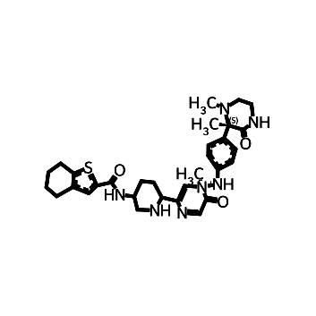 CN1CCNC(=O)[C@]1(C)c1ccc(N[N+]2(C)C=C(C3CCC(NC(=O)c4cc5c(s4)CCCC5)CN3)N=CC2=O)cc1